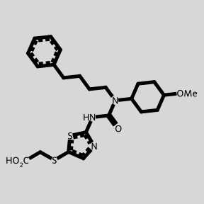 COC1CCC(N(CCCCc2ccccc2)C(=O)Nc2ncc(SCC(=O)O)s2)CC1